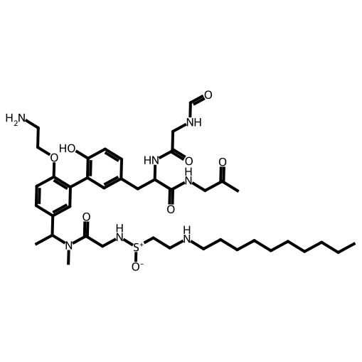 CCCCCCCCCCNCC[S+]([O-])NCC(=O)N(C)C(C)c1ccc(OCCN)c(-c2cc(CC(NC(=O)CNC=O)C(=O)NCC(C)=O)ccc2O)c1